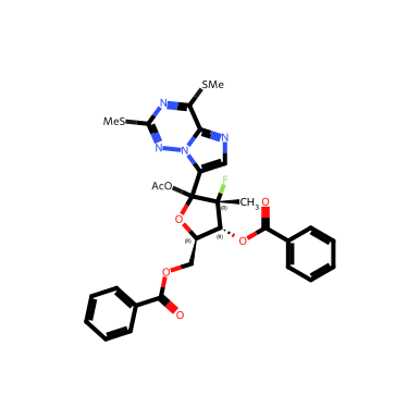 CSc1nc(SC)c2ncc(C3(OC(C)=O)O[C@H](COC(=O)c4ccccc4)[C@@H](OC(=O)c4ccccc4)[C@@]3(C)F)n2n1